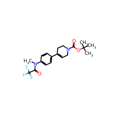 CN(C(=O)C(F)(F)F)c1ccc(C2=CCN(C(=O)OC(C)(C)C)CC2)cc1